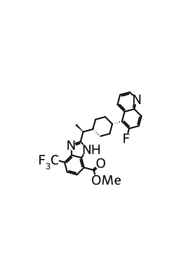 COC(=O)c1ccc(C(F)(F)F)c2nc([C@@H](C)[C@H]3CC[C@@H](c4c(F)ccc5ncccc54)CC3)[nH]c12